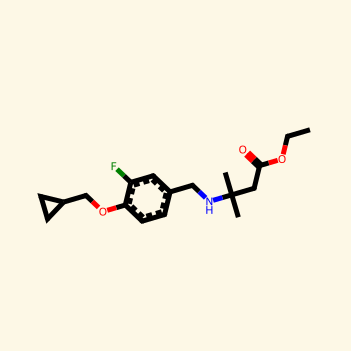 CCOC(=O)CC(C)(C)NCc1ccc(OCC2CC2)c(F)c1